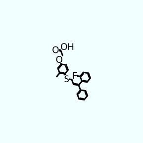 Cc1cc(OCC(=O)O)ccc1SCC=C(c1ccccc1)c1ccccc1F